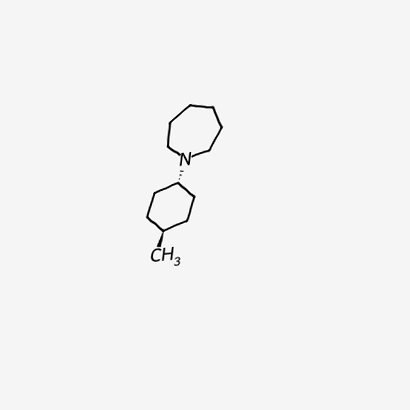 C[C@H]1CC[C@H](N2CCCCCC2)CC1